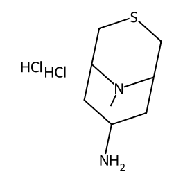 CN1C2CSCC1CC(N)C2.Cl.Cl